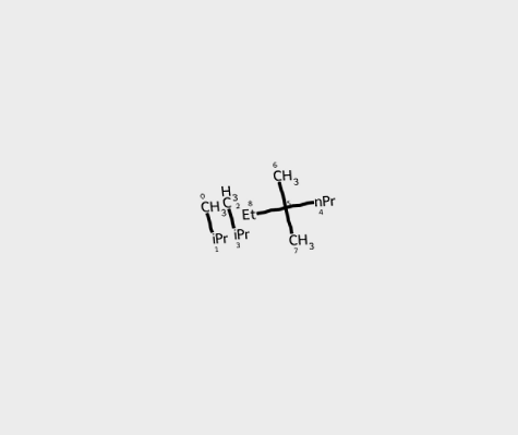 CC(C)C.CC(C)C.CCCC(C)(C)CC